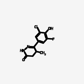 CC1CC(=O)NN=C1c1cc(F)c(O)c(Cl)c1